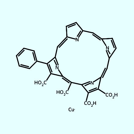 O=C(O)C1=C2N=C(C=C3C=CC(=N3)C=C3C=CC(=N3)C=C3N=C1C(C(=O)O)=C3C(=O)O)C(c1ccccc1)=C2C(=O)O.[Cu]